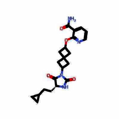 NC(=O)c1cccnc1OC1CC2(C1)CC(N1C(=O)N[C@H](CCC3CC3)C1=O)C2